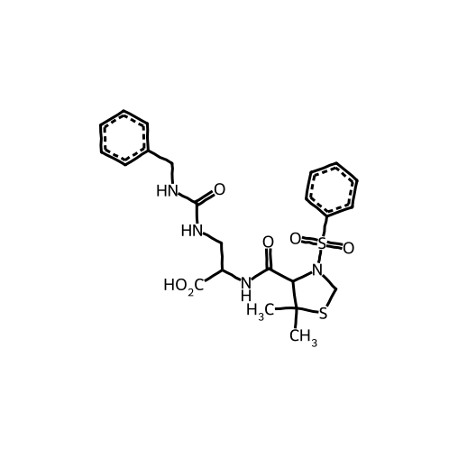 CC1(C)SCN(S(=O)(=O)c2ccccc2)C1C(=O)NC(CNC(=O)NCc1ccccc1)C(=O)O